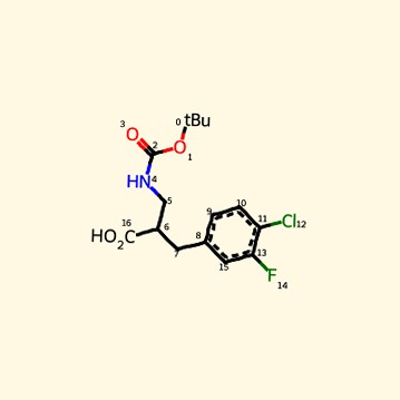 CC(C)(C)OC(=O)NCC(Cc1ccc(Cl)c(F)c1)C(=O)O